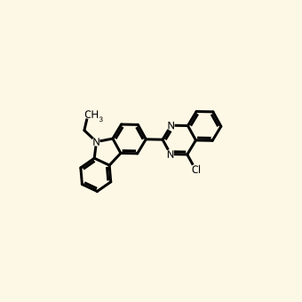 CCn1c2ccccc2c2cc(-c3nc(Cl)c4ccccc4n3)ccc21